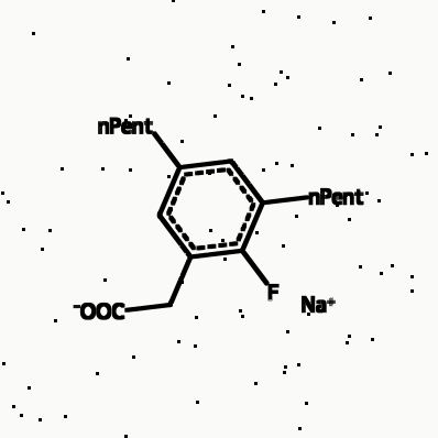 CCCCCc1cc(CCCCC)c(F)c(CC(=O)[O-])c1.[Na+]